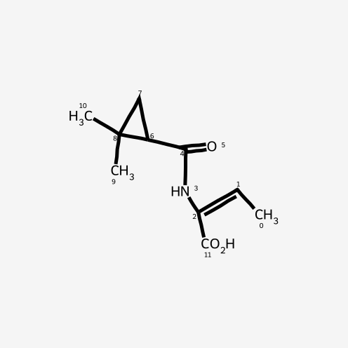 CC=C(NC(=O)C1CC1(C)C)C(=O)O